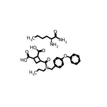 CCCC[C@H](N)C(N)=O.CCCN(Cc1ccc(Oc2ccccc2)cc1)C(=O)C1CC(C(=O)O)C1C(=O)O